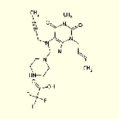 CC#CCn1c(N2CCNCC2)nc2c1c(=O)n(C)c(=O)n2CC=CC.O=C(O)C(F)(F)F